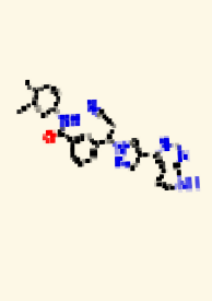 Cc1ccc(NC(=O)c2cccc(C(CC#N)n3cc(-c4ncnc5[nH]ccc45)cn3)c2)cc1C